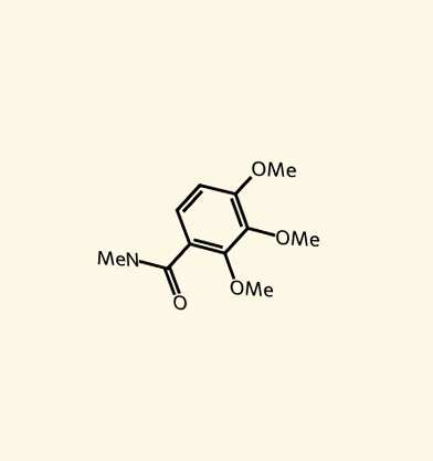 CNC(=O)c1ccc(OC)c(OC)c1OC